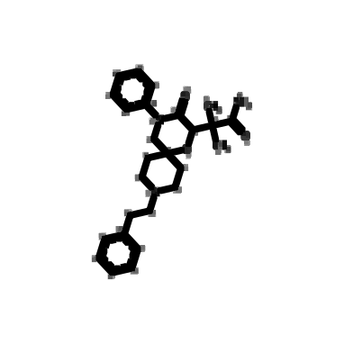 CC(C)(C(N)=O)C1OC2(CCN(CCc3ccccc3)CC2)CN(c2ccccc2)C1=O